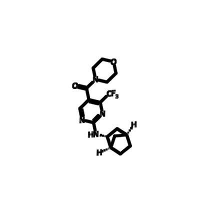 O=C(c1cnc(N[C@@H]2C[C@H]3CC[C@@H]2C3)nc1C(F)(F)F)N1CCOCC1